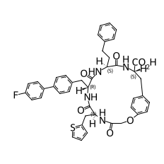 O=C1COc2ccc(cc2)C[C@@H](C(=O)O)NC(=O)[C@H](CCc2ccccc2)NC(=O)[C@@H](Cc2ccc(-c3ccc(F)cc3)cc2)NC(=O)[C@H](Cc2cccs2)N1